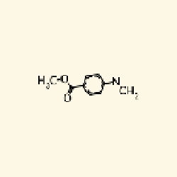 C=Nc1ccc(C(=O)OC)cc1